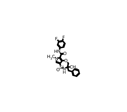 Cn1cc2c(c1C(=O)Nc1ccc(F)c(F)c1)OCC(C)(Cc1ccccc1)N[S+]2[O-]